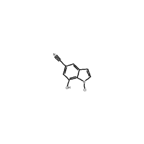 N#Cc1cc(O)c2c(ccn2Cl)c1